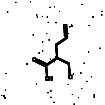 C=CCC(CCl)C(=O)O